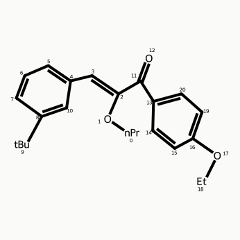 CCCOC(=Cc1cccc(C(C)(C)C)c1)C(=O)c1ccc(OCC)cc1